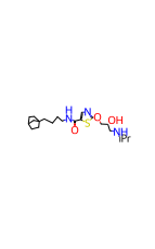 CC(C)NCC(O)COc1ncc(C(=O)NCCCCC23CCC(CC2)C3)s1